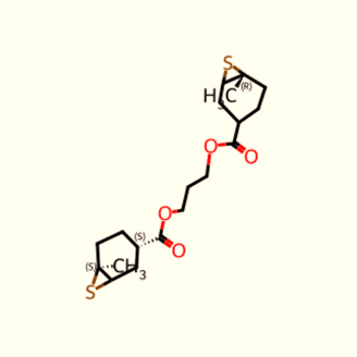 C[C@@]12CCC(C(=O)OCCCOC(=O)[C@H]3CC[C@]4(C)SC4C3)CC1S2